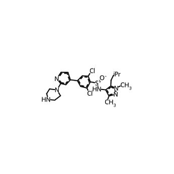 Cc1nn(C)c(CC(C)C)c1N[S+]([O-])c1c(Cl)cc(-c2ccnc(N3CCNCC3)c2)cc1Cl